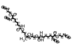 CC(C)(SCCOC(=O)NCCCCC(N=C=O)C(=O)OCCN=C=O)SCCOC(O)NCCCCC(N=C=O)C(=O)OCCN=C=O